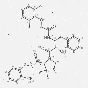 Cc1cccc(C)c1OCC(=O)N[C@@H](Cc1ccccc1)[C@H](O)C(=O)N1CSC(C)(C)[C@H]1C(=O)NCc1ccccc1C(F)(F)F